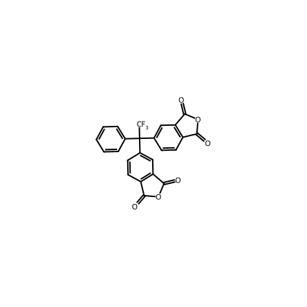 O=C1OC(=O)c2cc(C(c3ccccc3)(c3ccc4c(c3)C(=O)OC4=O)C(F)(F)F)ccc21